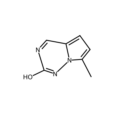 Cc1ccc2cnc(O)nn12